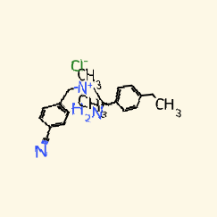 CCc1ccc(C(N)C[N+](C)(C)Cc2ccc(C#N)cc2)cc1.[Cl-]